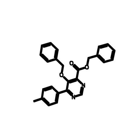 Cc1ccc(-c2ncnc(C(=O)OCc3ccccc3)c2OCc2ccccc2)cc1